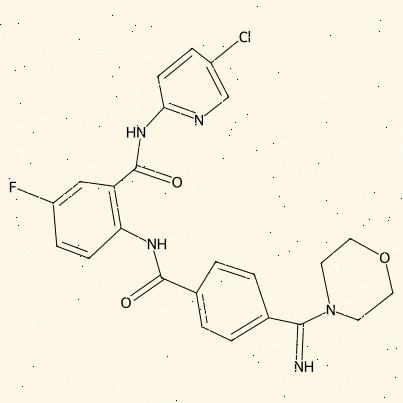 N=C(c1ccc(C(=O)Nc2ccc(F)cc2C(=O)Nc2ccc(Cl)cn2)cc1)N1CCOCC1